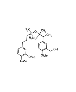 COc1ccc(C(C)[Si](C)(C)O[Si](C)(C)CCCc2ccc(OC)c(OC)c2)cc1CO